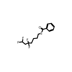 O=C(SCCCCC(F)(F)CC(F)F)c1ccccc1